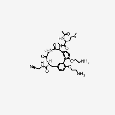 CSCC[C@H](NC(C)=O)C(=O)N(C)[C@@H]1C(=O)N[C@@H](C)C(=O)N[C@H](C(=O)NCC#N)Cc2ccc(OCCN)c(c2)-c2cc1ccc2OCCN